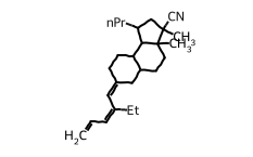 C=C/C=C(\C=C1\CCC2C(CCC3(C)C2C(CCC)CC3(C)C#N)C1)CC